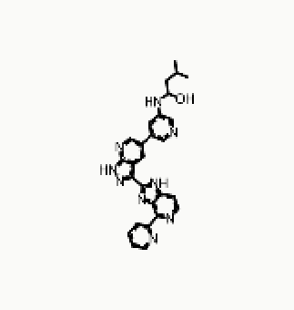 CC(C)CC(O)Nc1cncc(-c2cnc3[nH]nc(-c4nc5c(-c6ccccn6)nccc5[nH]4)c3c2)c1